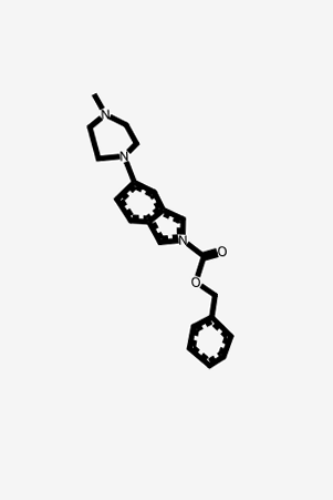 CN1CCN(c2ccc3cn(C(=O)OCc4ccccc4)cc3c2)CC1